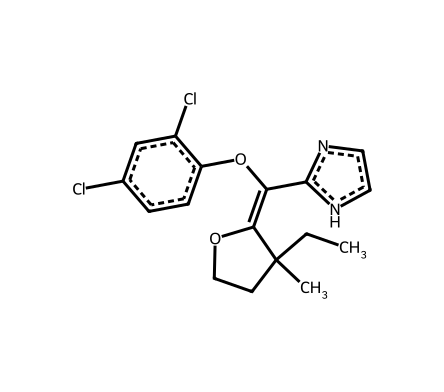 CCC1(C)CCOC1=C(Oc1ccc(Cl)cc1Cl)c1ncc[nH]1